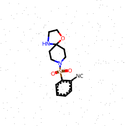 [C-]#[N+]c1ccccc1S(=O)(=O)N1CCC2(CC1)NCCO2